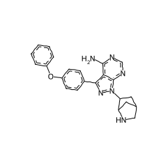 Nc1ncnc2c1c(-c1ccc(Oc3ccccc3)cc1)nn2C1CC2CNC1C2